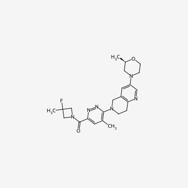 Cc1cc(C(=O)N2CC(C)(F)C2)nnc1N1CCc2ncc(N3CCO[C@H](C)C3)cc2C1